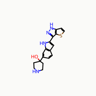 OC1(c2ccc3cc(-c4n[nH]c5ccsc45)[nH]c3c2)CCNCC1